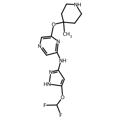 CC1(Oc2cncc(Nc3cc(OC(F)F)[nH]n3)n2)CCNCC1